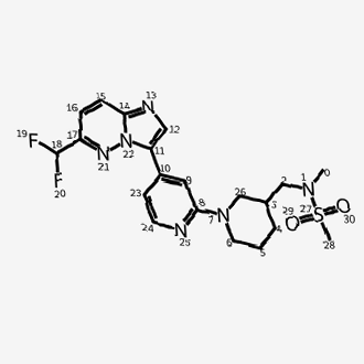 CN(CC1CCCN(c2cc(-c3cnc4ccc(C(F)F)nn34)ccn2)C1)S(C)(=O)=O